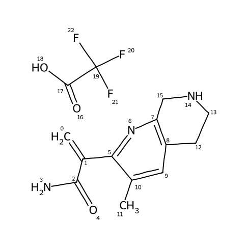 C=C(C(N)=O)c1nc2c(cc1C)CCNC2.O=C(O)C(F)(F)F